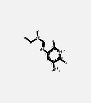 Bc1cc(/N=C/N(C)CC)c(C)nc1C